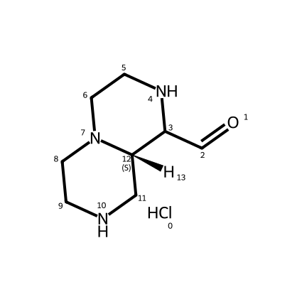 Cl.O=CC1NCCN2CCNC[C@@H]12